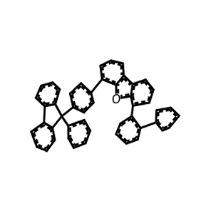 c1ccc(-c2ccccc2-c2cccc3c2oc2c(-c4ccc(C5(c6ccccc6)c6ccccc6-c6ccccc65)cc4)cccc23)cc1